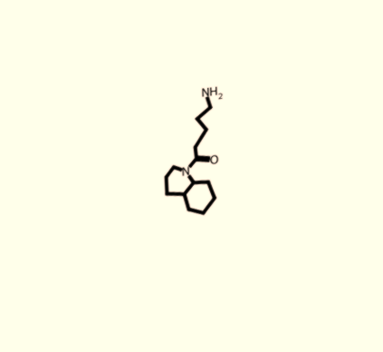 NCCCCC(=O)N1CCCC2CCCCC21